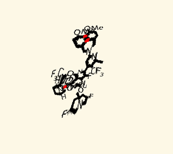 COc1ccc(CN(Cc2ccc(OC)cc2)c2cc(-c3nc4c5c(nc(OCC67C[C@@H](F)CN6C[C@H](F)C7)nc5c3F)N3C[C@H]5CC[C@@H]([C@H]3[C@H](C(F)(F)F)O4)N5C(=O)OC(C)(C)C)c(C(F)(F)F)c(C)n2)cc1